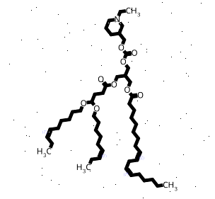 CC/C=C\CCCCCOC(CCC(=O)OCC(COC(=O)CCCCCCC/C=C\C/C=C\CCCCC)COC(=O)OCC1CCCN(CC)C1)OCCCCC/C=C\CC